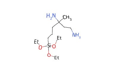 CCO[Si](CCCC(C)(N)CCN)(OCC)OCC